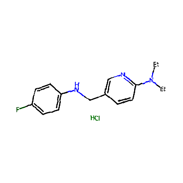 CCN(CC)c1ccc(CNc2ccc(F)cc2)cn1.Cl